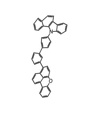 c1cc(-c2ccc(-n3c4ccccc4c4ccc5ccccc5c43)cc2)cc(-c2ccc3c4c(cccc24)-c2ccccc2O3)c1